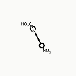 O=C(O)N1CCN(C#CC#Cc2ccc([N+](=O)[O-])cc2)CC1